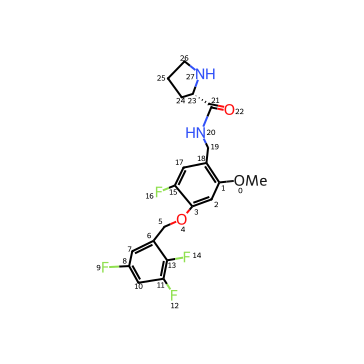 COc1cc(OCc2cc(F)cc(F)c2F)c(F)cc1CNC(=O)[C@@H]1CCCN1